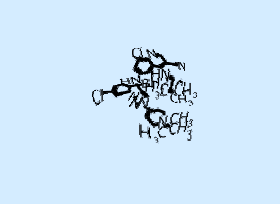 BC(Nc1cc(Cl)c2ncc(C#N)c(NCC(C)(C)C)c2c1)(c1ccc(Cl)cc1)c1cn(C2CCN(C(C)(C)C)CC2)nn1